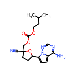 CC(C)CCOC(=O)OC[C@]1(C#N)CCC(c2ccc3c(N)ncnn23)O1